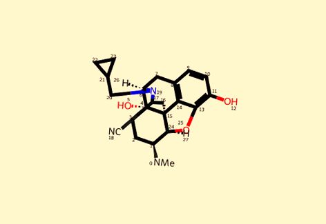 CN[C@H]1CC[C@@]2(O)[C@H]3Cc4ccc(O)c5c4[C@@]2(CC(C#N)N3CC2CC2)[C@H]1O5